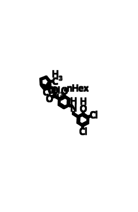 CCCCCCOc1cc(NCc2cc(Cl)cc(Cl)c2O)ccc1C(=O)OC1CC2CCC1(C)C2(C)C